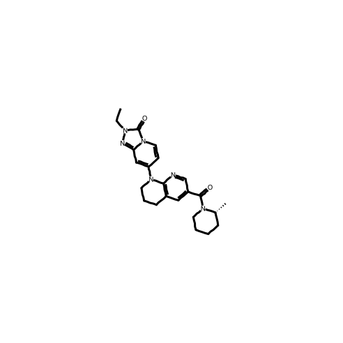 CCn1nc2cc(N3CCCc4cc(C(=O)N5CCCC[C@H]5C)cnc43)ccn2c1=O